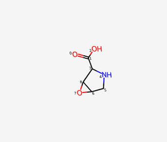 O=C(O)C1NCC2OC21